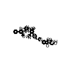 COc1cc(N2CCN(C[C@H]3CCN(c4ccc5c(c4)C(=O)N(C4CCC(=O)NC4=O)C5=O)C3)CC2)c(-c2cnn(C)c2)cc1Nc1ncc(Br)c(Nc2ccc(-c3ccccc3)cc2P(C)(C)=O)n1